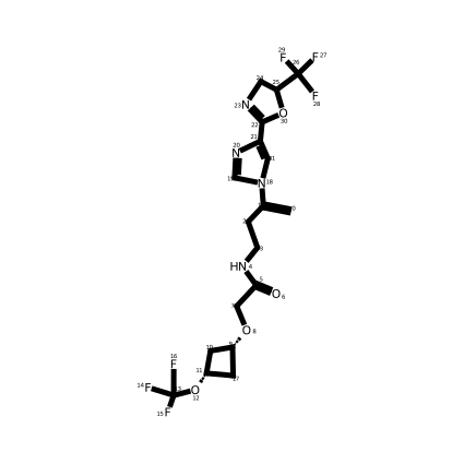 C=C(CCNC(=O)CO[C@H]1C[C@@H](OC(F)(F)F)C1)n1cnc(C2=NCC(C(F)(F)F)O2)c1